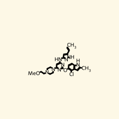 C/C=C/c1cc(Nc2cc(N3CCN(CCOC)CC3)nc(Oc3ccc4[nH]c(C)cc4c3Cl)n2)n[nH]1